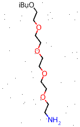 CC(C)COCCOCCOCCOCCOCCN